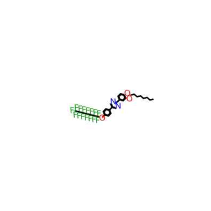 CCCCCCCC1Oc2ccc(-c3ncc(-c4ccc(OC(F)(F)C(F)(F)C(F)(F)C(F)(F)C(F)(F)C(F)(F)C(F)(F)F)cc4)cn3)cc2O1